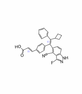 N#Cc1c(/C(=C(/c2ccccc2)C2CCC2)c2ccc(/C=C/C(=O)O)cc2)ccc2[nH]nc(F)c12